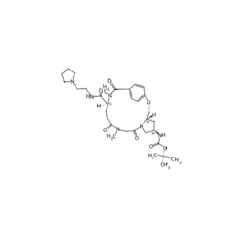 CN1CC(=O)N2C[C@H](NC(=O)OC(C)(C)C)C[C@H]2COc2ccc(cc2)C(=O)N(C)[C@H](C(=O)NCCN2CCCC2)CCC1=O